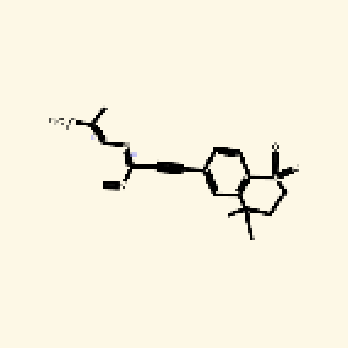 C=N/C(C#Cc1ccc2c(c1)C(C)(C)CCS2(=O)=O)=N\C=C(/C)C(=O)OCC